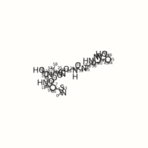 Cc1ncsc1-c1ccc([C@H](C)NC(=O)[C@@H]2C[C@@H](O)CN2C(=O)[C@@H](c2cc(OCCNC(=O)CN3CC(c4cc5cc(-c6ccccc6O)nnc5[nH]4)C3)no2)C(C)C)cc1